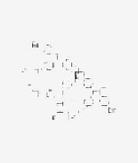 CC/C(=C(/c1ccc(OCCN(C)C)cc1)c1ccc(OP(=O)(Oc2ccc(/C(=C(\CC)c3ccc(Br)cc3)c3ccc(OCCN(C)C)cc3)cc2)Oc2ccc(/C(=C(\CC)c3ccc(Br)cc3)c3ccc(OCCN(C)C)cc3)cc2)cc1)c1ccc(Br)cc1